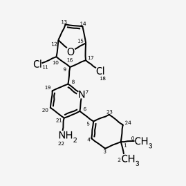 CC1(C)CC=C(c2nc(C3C(Cl)C4C=CC(O4)C3Cl)ccc2N)CC1